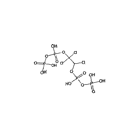 O=P(O)(O)OP(=O)(O)OC(Cl)C(Cl)(Cl)OP(=O)(O)OP(=O)(O)O